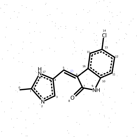 Cc1ncc(/C=C2\C(=O)Nc3ccc(Cl)cc32)[nH]1